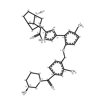 Cc1ccc(OCc2ccc(C(=O)N3CCC[C@H](O)C3)cc2C)c(-c2csc(N3CC4CC[C@@H](C3)C4CC(=O)O)n2)c1